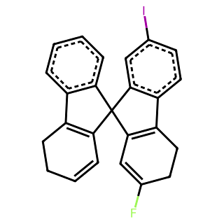 FC1=CC2=C(CC1)c1ccc(I)cc1C21C2=C(CCC=C2)c2ccccc21